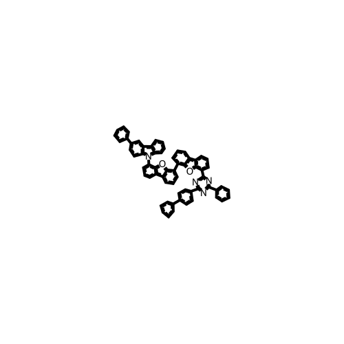 c1ccc(-c2ccc(-c3nc(-c4ccccc4)nc(-c4cccc5c4oc4c(-c6cccc7c6oc6c(-n8c9ccccc9c9cc(-c%10ccccc%10)ccc98)cccc67)cccc45)n3)cc2)cc1